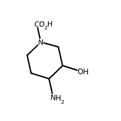 NC1CCN(C(=O)O)CC1O